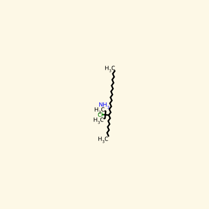 CCCCCCCCCCCCCCCCC(CCCCCCCC)C(Cl)(CC)CC.N